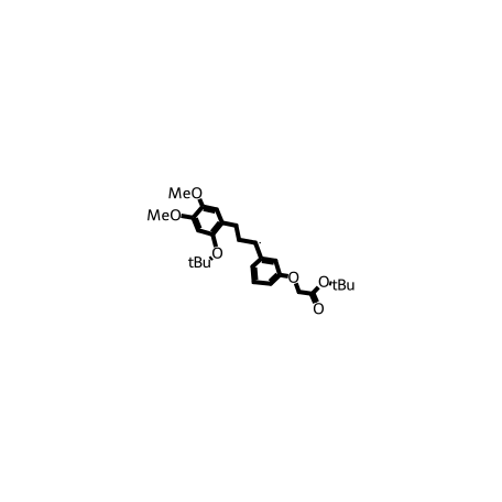 COc1cc(CC[CH]c2cccc(OCC(=O)OC(C)(C)C)c2)c(OC(C)(C)C)cc1OC